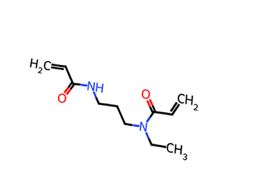 C=CC(=O)NCCCN(CC)C(=O)C=C